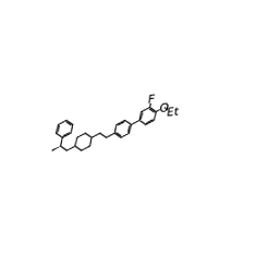 CCOc1ccc(-c2ccc(CCC3CCC(C[C@@H](C)c4ccccc4)CC3)cc2)cc1F